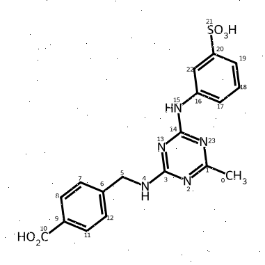 Cc1nc(NCc2ccc(C(=O)O)cc2)nc(Nc2cccc(S(=O)(=O)O)c2)n1